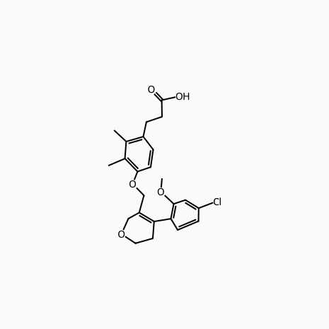 COc1cc(Cl)ccc1C1=C(COc2ccc(CCC(=O)O)c(C)c2C)COCC1